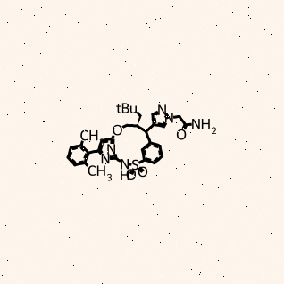 Cc1cccc(C)c1-c1cc2nc(n1)NS(=O)(=O)c1cccc(c1)C(c1cnn(CC(N)=O)c1)[C@H](CC(C)(C)C)CO2